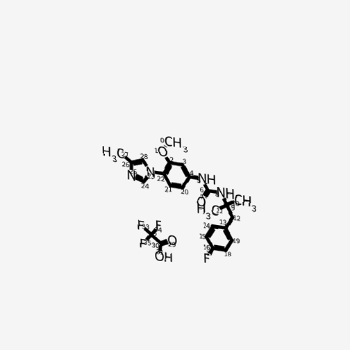 COc1cc(NC(=O)NC(C)(C)Cc2ccc(F)cc2)ccc1-n1cnc(C)c1.O=C(O)C(F)(F)F